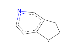 [CH]1CCc2cnccc21